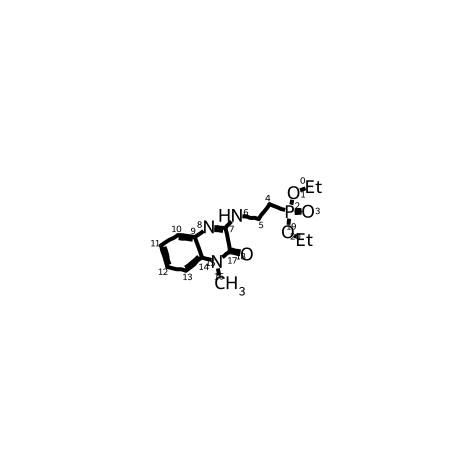 CCOP(=O)(CCNc1nc2ccccc2n(C)c1=O)OCC